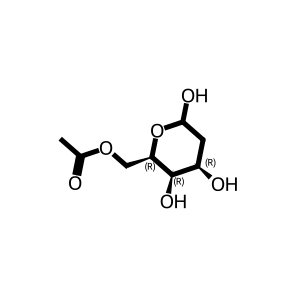 CC(=O)OC[C@H]1OC(O)C[C@@H](O)[C@H]1O